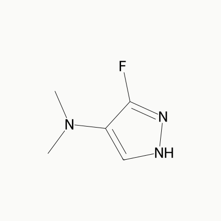 CN(C)c1c[nH]nc1F